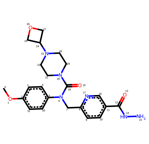 COc1ccc(N(Cc2ccc(C(=O)NN)cn2)C(=O)N2CCN(C3COC3)CC2)cc1